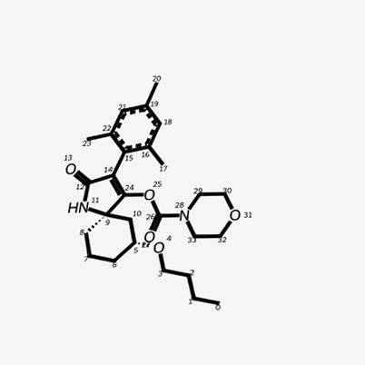 CCCCO[C@@H]1CCC[C@]2(C1)NC(=O)C(c1c(C)cc(C)cc1C)=C2OC(=O)N1CCOCC1